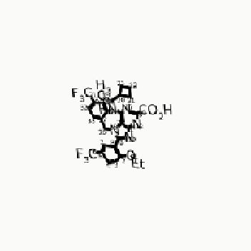 CCOc1ccc(C(F)(F)F)cc1-c1nc2nc(C(=O)O)nc(N[C@H](C)C3CCC3)c2n1Cc1ccc(C(F)(F)F)cc1